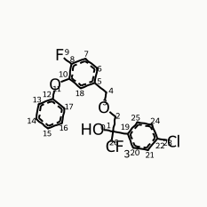 OC(COCc1ccc(F)c(Oc2ccccc2)c1)(c1ccc(Cl)cc1)C(F)(F)F